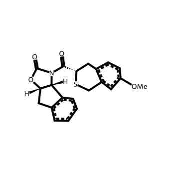 COc1ccc2c(c1)CS[C@H](C(=O)N1C(=O)O[C@H]3Cc4ccccc4[C@H]31)C2